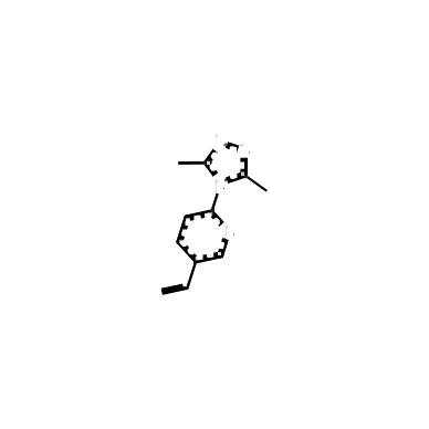 C=Cc1ccc(-n2c(C)nnc2C)nc1